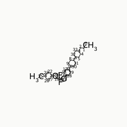 CCCC1CCC(C2CCC(c3ccc(OC(F)(F)COC4CCC(C)CC4)cc3)CC2)CC1